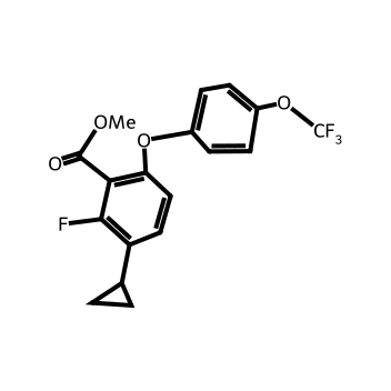 COC(=O)c1c(Oc2ccc(OC(F)(F)F)cc2)ccc(C2CC2)c1F